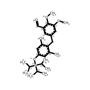 COc1cc(Cc2c(C)cc(O[Si](C(C)C)(C(C)C)C(C)C)cc2C)cc(C=O)c1OC